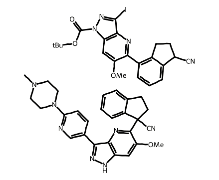 COc1cc2[nH]nc(-c3ccc(N4CCN(C)CC4)nc3)c2nc1C1(C#N)CCc2ccccc21.COc1cc2c(nc1-c1cccc3c1CCC3C#N)c(I)nn2C(=O)OC(C)(C)C